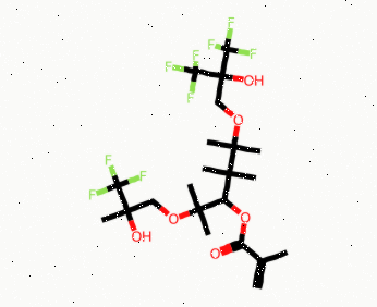 C=C(C)C(=O)OC(C(C)(C)OCC(C)(O)C(F)(F)F)C(C)(C)C(C)(C)OCC(O)(C(F)(F)F)C(F)(F)F